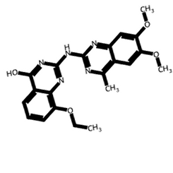 CCOc1cccc2c(O)nc(Nc3nc(C)c4cc(OC)c(OC)cc4n3)nc12